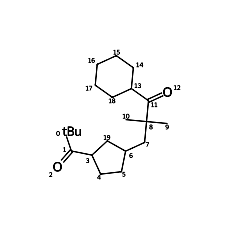 CC(C)(C)C(=O)C1CCC(CC(C)(C)C(=O)C2CCCCC2)C1